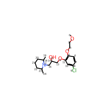 COCCOc1ccc(Cl)cc1OCC(O)CN1C(C)CCCC1C